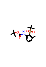 Cc1cccc(NC(=O)OC(C)(C)C)c1S(=O)(=O)C(C)(C)C